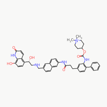 C[N+]1(C)CCC(OC(=O)Nc2cc(CCC(=O)Nc3ccc4cc(CNC[C@@H](O)c5ccc(O)c6[nH]c(=O)ccc56)ccc4c3)ccc2-c2ccccc2)CC1